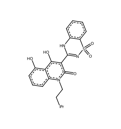 CC(C)CCn1c(=O)c(C2=NS(=O)(=O)c3ccccc3N2)c(O)c2c(O)cccc21